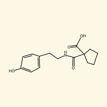 O=C(O)C1(C(=O)NCCc2ccc(O)cc2)CCCC1